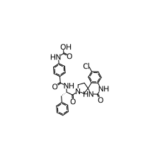 O=C(O)Nc1ccc(C(=O)N[C@@H](Cc2ccccc2)C(=O)N2CCC3(C2)NC(=O)Nc2ccc(Cl)cc23)cc1